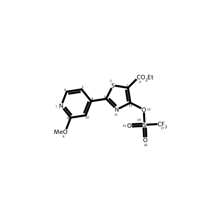 CCOC(=O)c1sc(-c2ccnc(OC)c2)nc1OS(=O)(=O)C(F)(F)F